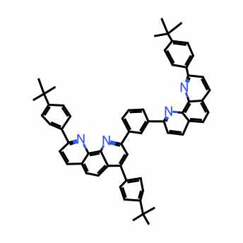 CC(C)(C)c1ccc(-c2ccc3ccc4ccc(-c5cccc(-c6cc(-c7ccc(C(C)(C)C)cc7)c7ccc8ccc(-c9ccc(C(C)(C)C)cc9)nc8c7n6)c5)nc4c3n2)cc1